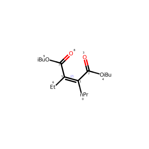 CCC/C(C(=O)OCC(C)C)=C(\CC)C(=O)OCC(C)C